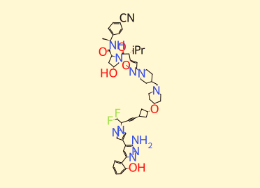 CC(C)[C@@H](C(=O)N1C[C@H](O)C[C@H]1C(=O)N[C@@H](C)c1ccc(C#N)cc1)c1cc(N2CCC(CN3CCC(O[C@H]4C[C@H](C#CC(C(F)F)n5cc(-c6cc(-c7ccccc7O)nnc6N)cn5)C4)CC3)CC2)no1